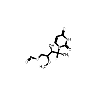 COC(COP=O)[C@@H](O)[C@@](C)(F)n1ccc(=O)[nH]c1=O